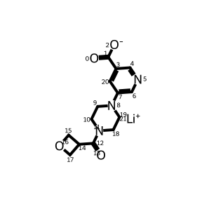 O=C([O-])c1cncc(N2CCN(C(=O)C3COC3)CC2)c1.[Li+]